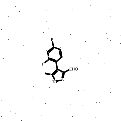 Cc1[nH]nc([C]=O)c1-c1ccc(F)cc1F